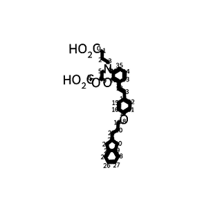 O=C(O)CCCN1CC(OC(=O)O)Oc2c(/C=C/c3ccc(OCCCC4Cc5ccccc5C4)cc3)cccc21